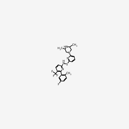 Cc1ccc(F)cc1-c1nc(NSc2cccc(N3CC(C)NC(C)C3)n2)ccc1C(F)(F)F